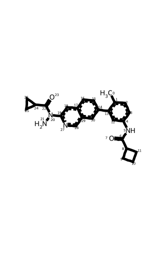 Cc1ccc(NC(=O)C2CCC2)cc1-c1ccc2cc(N(N)C(=O)C3CC3)ncc2c1